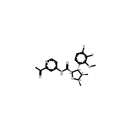 COc1c([C@@H]2[C@@H](C)[C@@H](C)O[C@H]2C(=O)Nc2ccnc(C(C)=O)c2)ccc(F)c1F